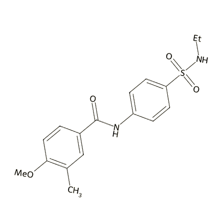 CCNS(=O)(=O)c1ccc(NC(=O)c2ccc(OC)c(C)c2)cc1